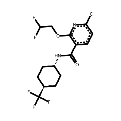 O=C(N[C@H]1CC[C@H](C(F)(F)F)CC1)c1ccc(Cl)nc1OCC(F)F